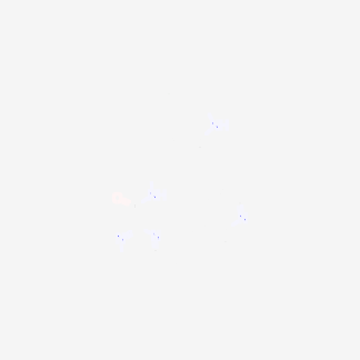 O=C(NCc1cc2c(Cl)c[nH]c2cc1F)c1nccc(Cc2ccc3ncc(Cl)cc3c2)n1